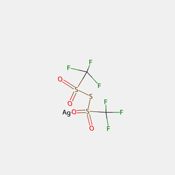 O=S(=O)(SS(=O)(=O)C(F)(F)F)C(F)(F)F.[Ag]